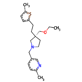 CCOC[C@]1(CCc2ccc(C)s2)CCN(Cc2ccc(C)nc2)C1